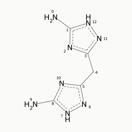 Nc1nc(Cc2n[nH]c(N)n2)n[nH]1